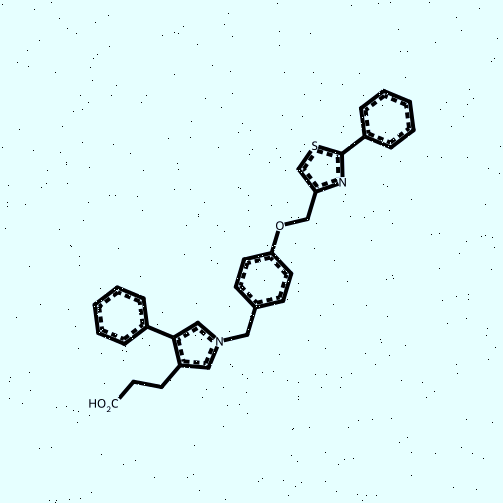 O=C(O)CCc1cn(Cc2ccc(OCc3csc(-c4ccccc4)n3)cc2)cc1-c1ccccc1